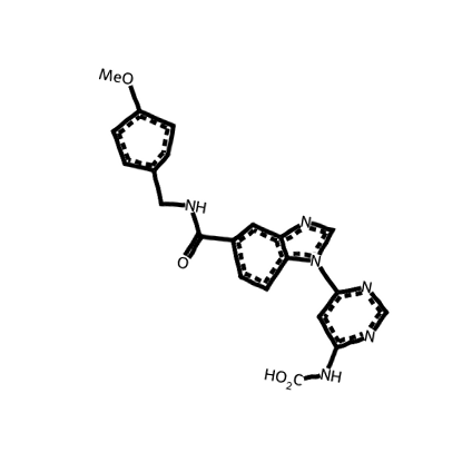 COc1ccc(CNC(=O)c2ccc3c(c2)ncn3-c2cc(NC(=O)O)ncn2)cc1